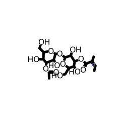 C/C=C(/C)C(=O)OC1C(O)C(CO)OC(OC2OC(CO)C(O)C(OC(C)=O)C2O)C1O